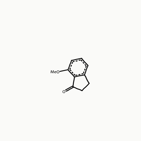 COc1cccc2c1C(=O)CC2